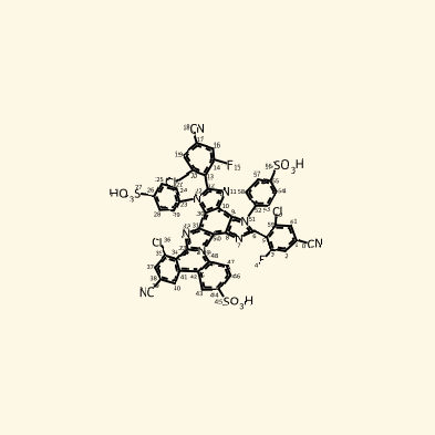 N#Cc1cc(F)c(-c2nc3c(c4nc(-c5c(F)cc(C#N)cc5Cl)n(-c5ccc(S(=O)(=O)O)cc5)c4c4nc5c6c(Cl)cc(C#N)cc6c6cc(S(=O)(=O)O)ccc6n5c34)n2-c2ccc(S(=O)(=O)O)cc2)c(Cl)c1